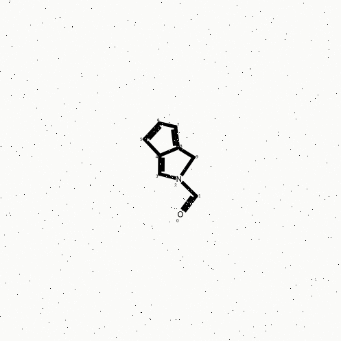 O=CN1C=C2C=CC=C2C1